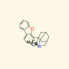 Cc1ccc2c(oc3ccccc32)c1C12CC3CC(CN(C3)[C@@H]1C)C2